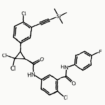 C[Si](C)(C)C#Cc1cc(C2C(C(=O)Nc3ccc(Cl)c(C(=O)Nc4ccc(F)cc4)c3)C2(Cl)Cl)ccc1Cl